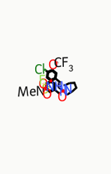 CNS(=O)(=O)Nc1cc(Cl)c(OC(F)(F)F)cc1/C=C/C(=O)N1C2CCC1CN(Cc1ccc(F)cc1)C2